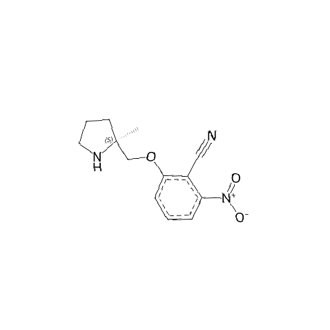 C[C@@]1(COc2cccc([N+](=O)[O-])c2C#N)CCCN1